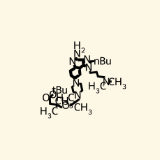 CCCCc1nc2c(N)nc3ccc(N4CCN(CC(C)(C)COCC(C)(C)CC(=O)OC(C)(C)C)CC4)cc3c2n1CCCCN(C)C